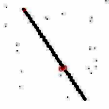 CCCCCCCCCCCCCCCCCCCCCCCCCCCCCCCCCCCCCCC(=O)OCCCCCCCCCCCCCCCCCCCC